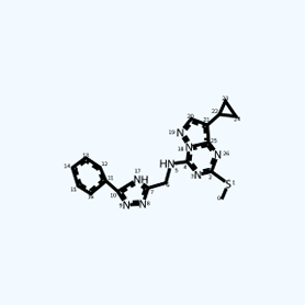 CSc1nc(NCc2nnc(-c3ccccc3)[nH]2)n2ncc(C3CC3)c2n1